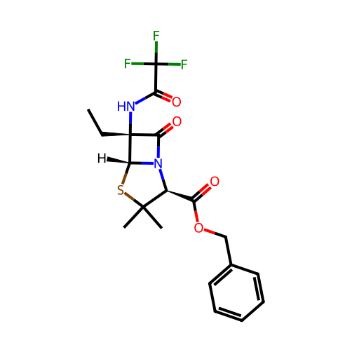 CC[C@@]1(NC(=O)C(F)(F)F)C(=O)N2[C@@H](C(=O)OCc3ccccc3)C(C)(C)S[C@@H]21